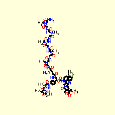 CC[C@@]1(O)C(=O)OCc2c1cc1n(c2=O)Cc2c-1nc1cc(F)c(C)c3c1c2[C@@H](NC(=O)O[C@@H](CNC(=O)CC[C@H](N)C(=O)NCC(=O)N(C)CC(=O)NCC(=O)N(C)CC(=O)NCC(=O)N(C)CC(=O)NCC(=O)N(C)CC(=O)NCC(=O)N(C)CC(N)=O)c1ccc(NC(=O)[C@H](C)NC(=O)[C@@H](NC(C)=O)C(C)C)cc1)CC3